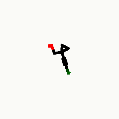 OCC1(C#CBr)CC1